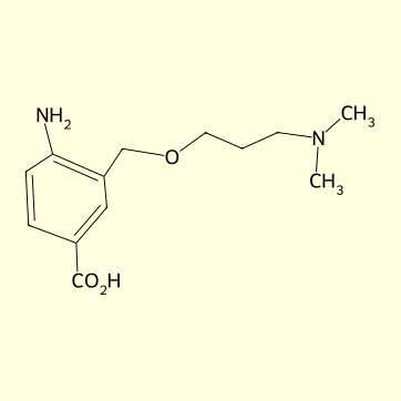 CN(C)CCCOCc1cc(C(=O)O)ccc1N